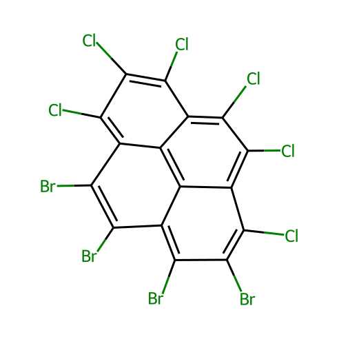 Clc1c(Cl)c2c(Cl)c(Cl)c3c(Cl)c(Br)c(Br)c4c(Br)c(Br)c(c1Cl)c2c34